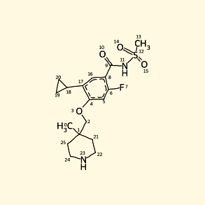 CC1(COc2cc(F)c(C(=O)NS(C)(=O)=O)cc2C2CC2)CCNCC1